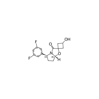 O=C1N2[C@@H](CC[C@H]2c2cc(F)cc(F)c2)OC12CC(O)C2